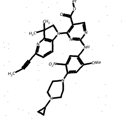 CC#Cc1ccc2c(n1)C(C)(C)CN2c1nc(Nc2cc([N+](=O)[O-])c(N3CCN(C4CC4)CC3)cc2OC)ncc1C(=O)OC(C)C